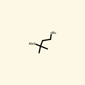 CCCCCCC(C)(C)SC